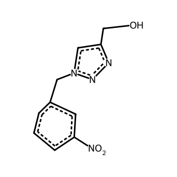 O=[N+]([O-])c1cccc(Cn2cc(CO)nn2)c1